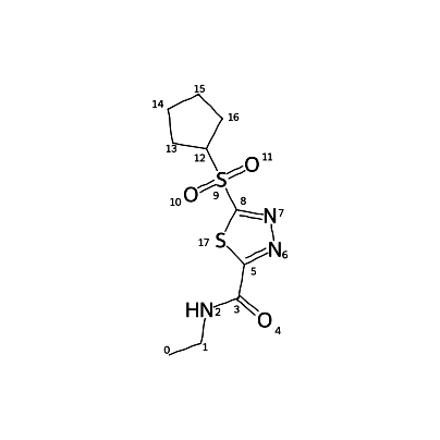 CCNC(=O)c1nnc(S(=O)(=O)C2CCCC2)s1